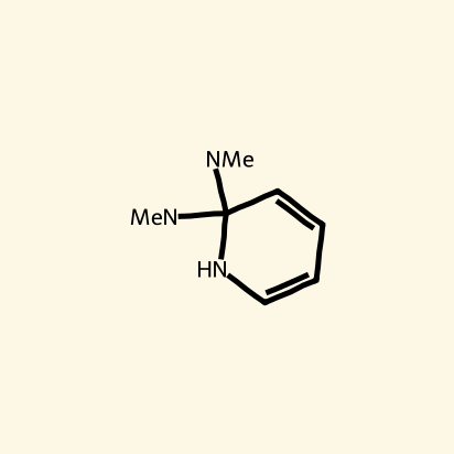 CNC1(NC)C=CC=CN1